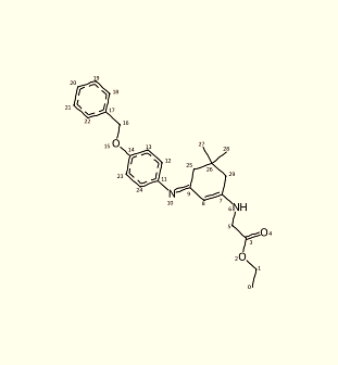 CCOC(=O)CNC1=C/C(=N/c2ccc(OCc3ccccc3)cc2)CC(C)(C)C1